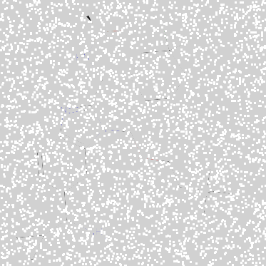 CC(C)(C)[S@@+]([O-])NC(c1nc2ccc(C(N)C3CC3)cc2n1COCC[Si](C)(C)C)[C@H]1CCCC(F)(F)C1